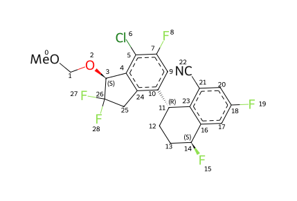 COCO[C@H]1c2c(Cl)c(F)cc([C@H]3CC[C@H](F)c4cc(F)cc(C#N)c43)c2CC1(F)F